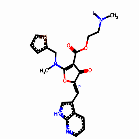 CN(I)CCOC(=O)C1=C(N(C)Cc2cccs2)O/C(=C\c2c[nH]c3ncccc23)C1=O